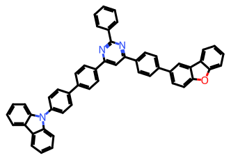 c1ccc(-c2nc(-c3ccc(-c4ccc(-n5c6ccccc6c6ccccc65)cc4)cc3)cc(-c3ccc(-c4ccc5oc6ccccc6c5c4)cc3)n2)cc1